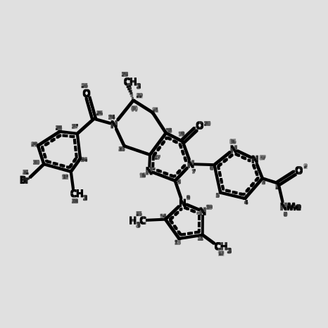 CNC(=O)c1ccc(-n2c(-n3nc(C)cc3C)nc3c(c2=O)C[C@@H](C)N(C(=O)c2ccc(Br)c(C)c2)C3)nn1